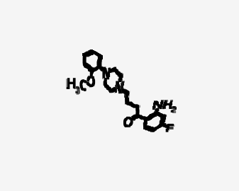 COc1ccccc1N1CCN(CCCC(=O)c2ccc(F)cc2N)CC1